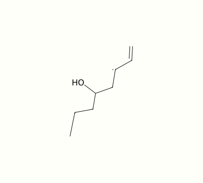 C=C[CH]CC(O)CCC